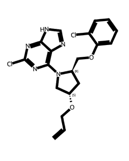 C=CCO[C@H]1C[C@H](COc2ccccc2Cl)N(c2nc(Cl)nc3[nH]cnc23)C1